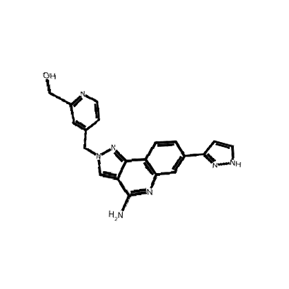 Nc1nc2cc(-c3cc[nH]n3)ccc2c2nn(Cc3ccnc(CO)c3)cc12